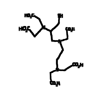 O=C(O)CN(CCN(CC(=O)O)CC(CS)N(CC(=O)O)CC(=O)O)CC(=O)O